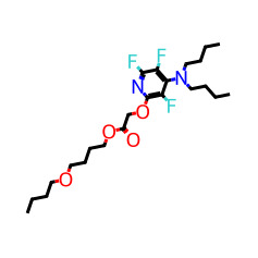 CCCCOCCCCOC(=O)COc1nc(F)c(F)c(N(CCCC)CCCC)c1F